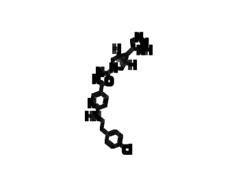 Clc1ccc(CCNc2ccc(-c3nnc(N4C[C@@H]5C(c6cnn[nH]6)[C@@H]5C4)o3)cn2)cc1